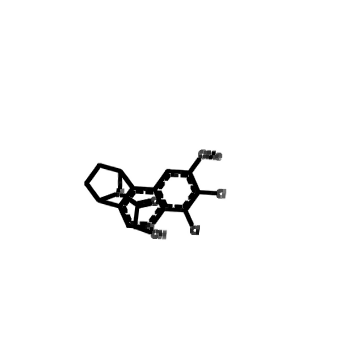 COc1cc2c3c(cnc2c(Cl)c1Cl)C1CCC3N1C(=O)CO